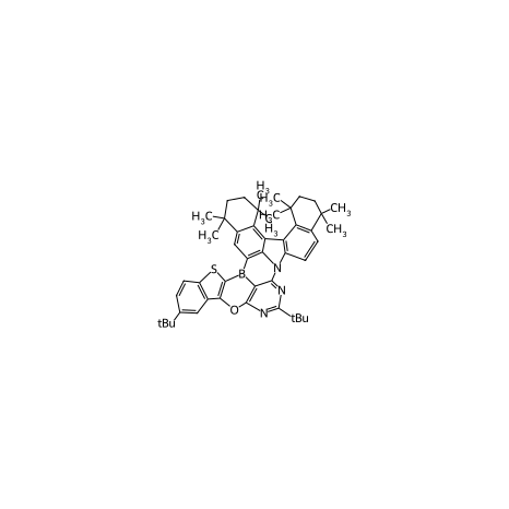 CC(C)(C)c1ccc2sc3c(c2c1)Oc1nc(C(C)(C)C)nc2c1B3c1cc3c(c4c5c6c(ccc5n-2c14)C(C)(C)CCC6(C)C)C(C)(C)CCC3(C)C